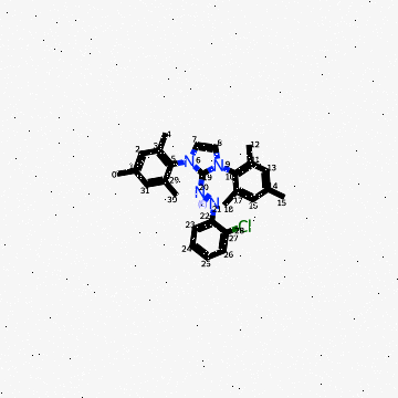 Cc1cc(C)c(N2C=CN(c3c(C)cc(C)cc3C)C2/N=N/c2ccccc2Cl)c(C)c1